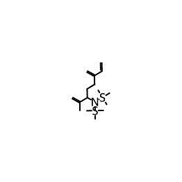 C=CC(=C)CCC(C(=C)C)N(S(C)(C)C)S(C)(C)C